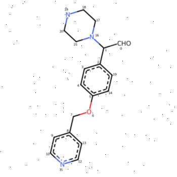 O=CC(c1ccc(OCc2ccncc2)cc1)N1CC[N]CC1